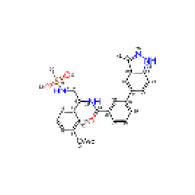 COc1cccc(C(CNS(C)(=O)=O)NC(=O)c2cccc(-c3ccc4[nH]nc(C)c4c3)c2)c1